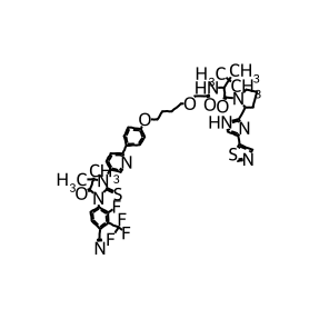 CC(C)(C)C(NC(=O)COCCCCOc1ccc(-c2ccc(N3C(=S)N(c4ccc(C#N)c(C(F)(F)F)c4F)C(=O)C3(C)C)cn2)cc1)C(=O)N1CCCC1c1nc(-c2cncs2)c[nH]1